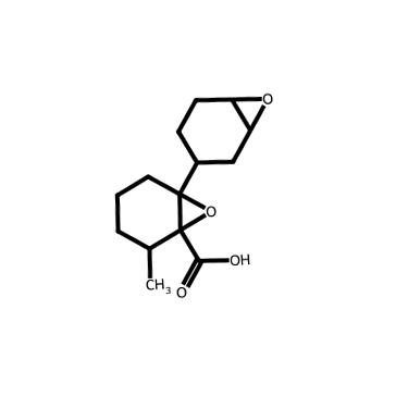 CC1CCCC2(C3CCC4OC4C3)OC12C(=O)O